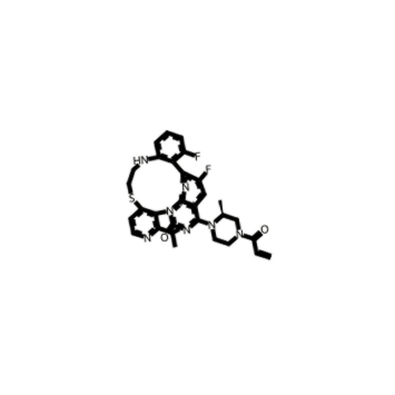 C=CC(=O)N1CCN(c2nc(=O)n3c4nc(c(F)cc24)-c2c(F)cccc2NCCSc2ccnc(C(C)C)c2-3)[C@@H](C)C1